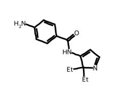 CCC1(CC)N=CC=C1NC(=O)c1ccc(N)cc1